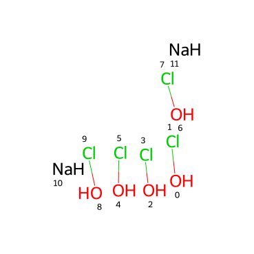 OCl.OCl.OCl.OCl.OCl.[NaH].[NaH]